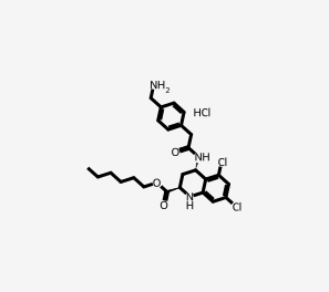 CCCCCCOC(=O)[C@H]1C[C@H](NC(=O)Cc2ccc(CN)cc2)c2c(Cl)cc(Cl)cc2N1.Cl